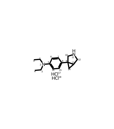 CCN(CC)c1ccc(C23CNCC2C3)cc1.Cl.Cl